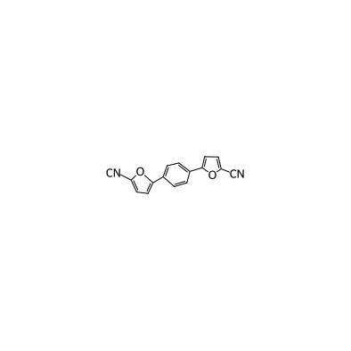 [C-]#[N+]c1ccc(-c2ccc(-c3ccc(C#N)o3)cc2)o1